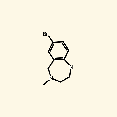 CN1CC[N]c2ccc(Br)cc2C1